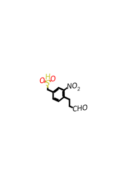 O=CCCc1ccc(C[SH](=O)=O)cc1[N+](=O)[O-]